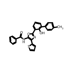 Cc1ccc(-c2cccc(-c3nc(-c4cccs4)c(NC(=O)c4ccccc4)o3)c2O)cc1